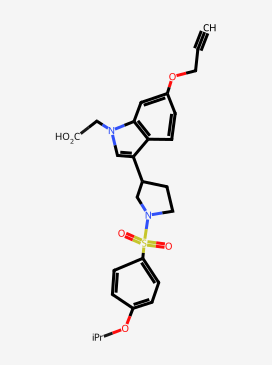 C#CCOc1ccc2c(C3CCN(S(=O)(=O)c4ccc(OC(C)C)cc4)C3)cn(CC(=O)O)c2c1